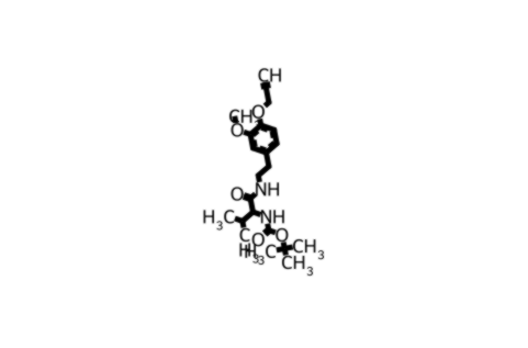 C#CCOc1ccc(CCNC(=O)C(NC(=O)OC(C)(C)C)C(C)C)cc1OC